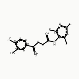 Cc1cc(C)c(NC(=O)CCC(=N)c2ccc(Cl)c(Cl)c2)c(C)n1